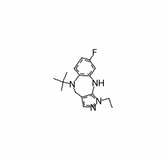 CCn1ncc2c1Nc1cc(F)ccc1N(C(C)(C)C)C2